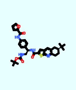 CC(C)(C)OC(=O)NC[C@H](NC(=O)c1cc2cc3c(nc2s1)CC[C@@H](C(C)(C)C)C3)c1ccc(NC(=O)c2ccco2)cc1